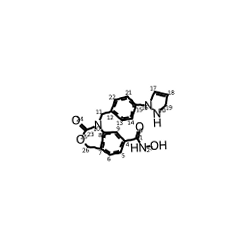 O=C(NO)c1ccc2c(c1)N(Cc1ccc(N3C=CCN3)cc1)C(=O)OC2